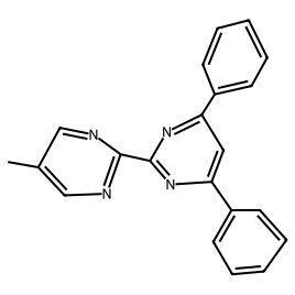 Cc1cnc(-c2nc(-c3ccccc3)cc(-c3ccccc3)n2)nc1